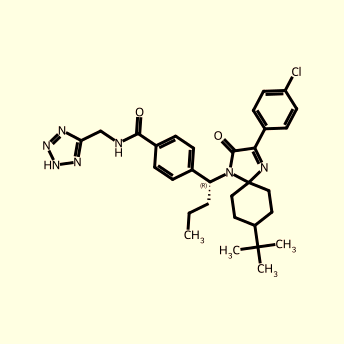 CCC[C@H](c1ccc(C(=O)NCc2nn[nH]n2)cc1)N1C(=O)C(c2ccc(Cl)cc2)=NC12CCC(C(C)(C)C)CC2